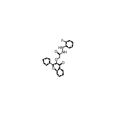 O=C(COc1c(-c2ccccc2)oc2ccccc2c1=O)NNc1ccccc1F